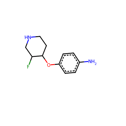 Nc1ccc(OC2CCNCC2F)cc1